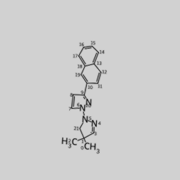 CC1(C)[C]=NN(n2ccc(-c3ccc4ccccc4c3)n2)C1